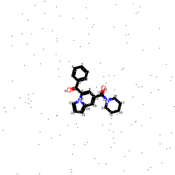 O=C(c1ccccc1)c1cc(C(=O)N2CCCCC2)cc2cccn12